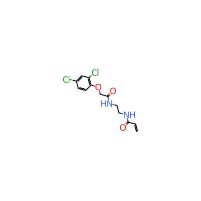 C=CC(=O)NCCNC(=O)COc1ccc(Cl)cc1Cl